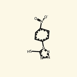 O=[N+]([O-])c1ccc(-n2nnnc2S)cc1